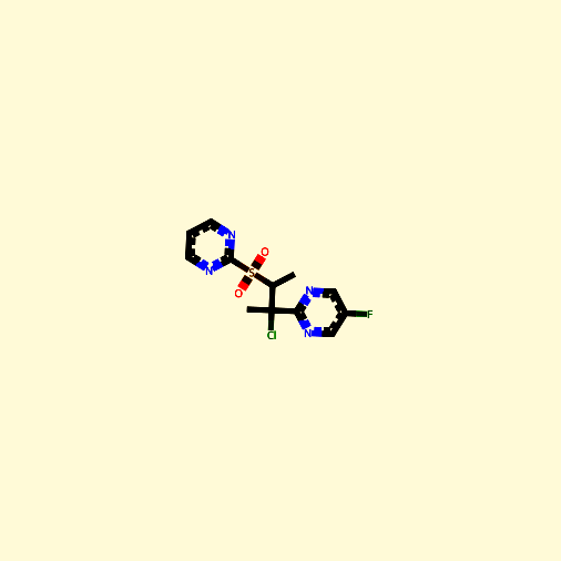 CC(C(C)(Cl)c1ncc(F)cn1)S(=O)(=O)c1ncccn1